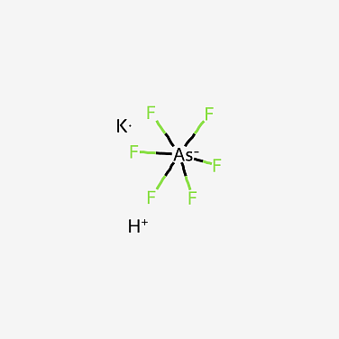 F[As-](F)(F)(F)(F)F.[H+].[K]